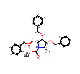 CC[C@@H]1[C@@H](OCc2ccccc2)[C@@H](OCc2ccccc2)[C@@H](COCc2ccccc2)N1C(=O)OC(C)(C)C